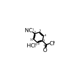 Cl.N#Cc1ccc(C(=O)Cl)cc1